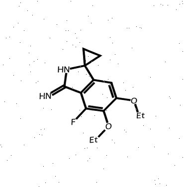 CCOc1cc2c(c(F)c1OCC)C(=N)NC21CC1